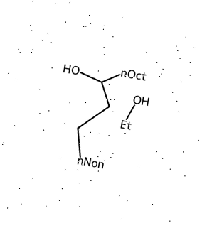 CCCCCCCCCCCC(O)CCCCCCCC.CCO